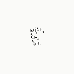 B.C.[AlH3].[SiH4]